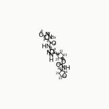 COc1cc(C(=O)Nc2cc([C@H]3CC[C@@H](OC(=O)NC4(C)CCOC4)C3)[nH]n2)n(C)n1